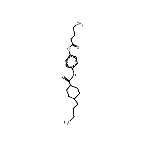 CCCCC(=O)Oc1ccc(OC(=O)C2CCC(CCCC)CC2)cc1